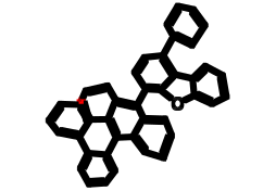 c1ccc(-c2ccccc2-c2c3ccccc3c(-c3ccc(-c4ccccc4)c4c3oc3ccccc34)c3ccccc23)cc1